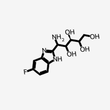 NC(c1nc2cc(F)ccc2[nH]1)C(O)[C@@H](O)C(O)CO